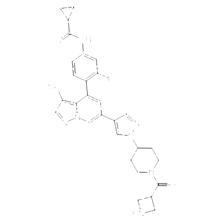 N#Cc1cnn2cc(-c3cnn(C4CCN(C(=O)C5CNC5)CC4)c3)cc(-c3ccc(NC(=O)C4CC4)cc3F)c12